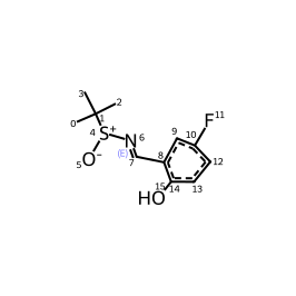 CC(C)(C)[S+]([O-])/N=C/c1cc(F)ccc1O